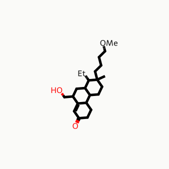 CCC1C2CC(CO)C3=CC(=O)CCC3C2CCC1(C)CCCCOC